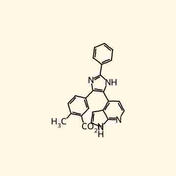 Cc1ccc(-c2nc(-c3ccccc3)[nH]c2-c2ccnc3[nH]ccc23)cc1C(=O)O